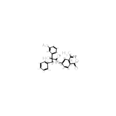 CC(=O)c1cccc(C(O)(Cc2ccccc2)C(=O)Nc2ccc3c(=O)onc(C)c3c2)c1